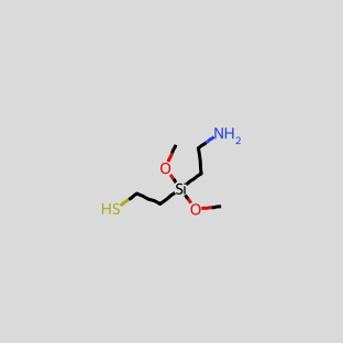 CO[Si](CCN)(CCS)OC